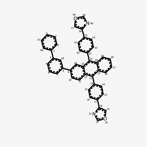 c1ccc(-c2cccc(-c3ccc4c(-c5ccc(-c6cocn6)cc5)c5ccccc5c(-c5ccc(-c6cocn6)cc5)c4c3)c2)cc1